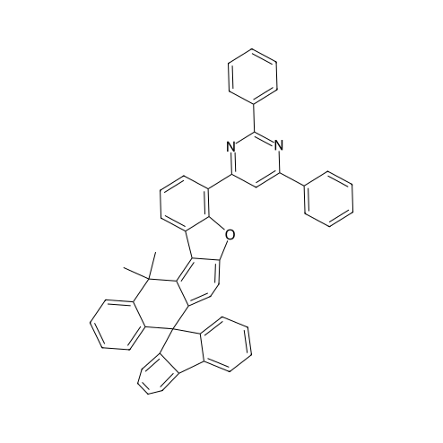 CC1(C)c2ccccc2C2(c3ccccc3-c3ccccc32)c2ccc3oc4c(-c5cc(-c6ccccc6)nc(-c6ccccc6)n5)cccc4c3c21